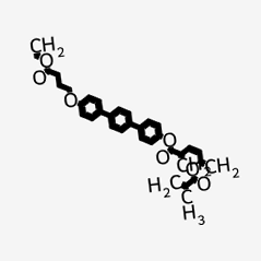 C=COC(=O)CCCOc1ccc(-c2ccc(-c3ccc(OC(=O)C(=C)/C=C\C(=C)OC(=O)C(=C)C)cc3)cc2)cc1